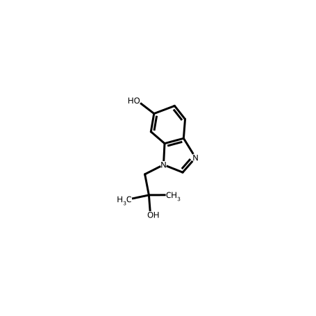 CC(C)(O)Cn1cnc2ccc(O)cc21